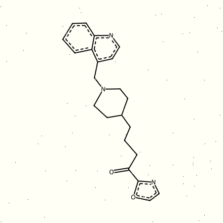 O=C(CCCC1CCN(Cc2ccnc3ccccc23)CC1)c1ncco1